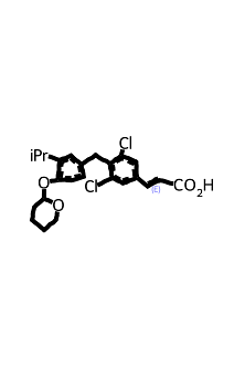 CC(C)c1cc(Cc2c(Cl)cc(/C=C/C(=O)O)cc2Cl)ccc1OC1CCCCO1